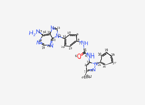 CC(C)(C)c1cc(NC(=O)Nc2ccc(-n3cnc4c(N)ncnc43)cc2)n(-c2ccccc2)n1